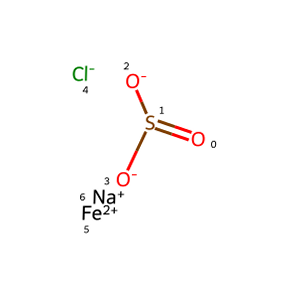 O=S([O-])[O-].[Cl-].[Fe+2].[Na+]